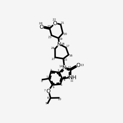 Cc1cc2c(cc1OC(C)C)[nH]c(=O)n2C1CCN(C2CCOC(=O)C2)CC1